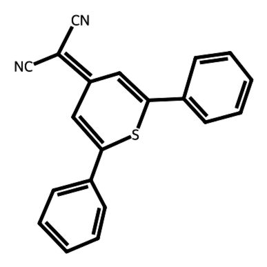 N#CC(C#N)=C1C=C(c2ccccc2)SC(c2ccccc2)=C1